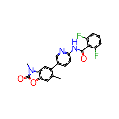 Cc1cc2oc(=O)n(C)c2cc1-c1ccc(NC(=O)c2c(F)cccc2F)nc1